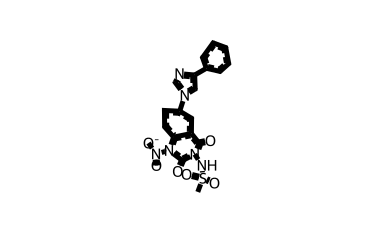 CS(=O)(=O)Nn1c(=O)c2cc(-n3cnc(-c4ccccc4)c3)ccc2n([N+](=O)[O-])c1=O